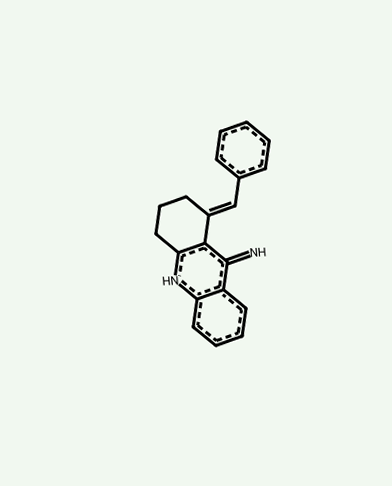 N=c1c2c([nH]c3ccccc13)CCCC2=Cc1ccccc1